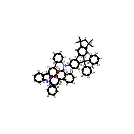 CC1(C)CC(C)(C)c2cc3c(cc21)-c1cc(N(c2ccccc2-c2ccc4c(c2)c2ccccc2n4-c2ccccc2)c2cc4ccccc4c4ccccc24)ccc1C3(c1ccccc1)c1ccccc1